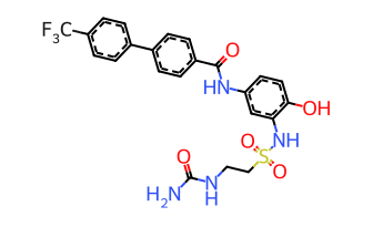 NC(=O)NCCS(=O)(=O)Nc1cc(NC(=O)c2ccc(-c3ccc(C(F)(F)F)cc3)cc2)ccc1O